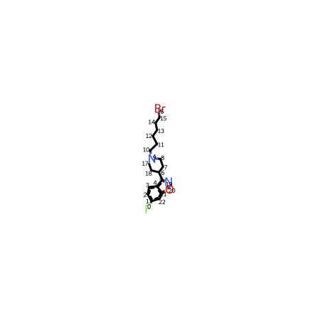 Fc1ccc2c(C3CCN(CCCCCCBr)CC3)noc2c1